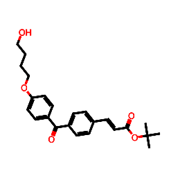 CC(C)(C)OC(=O)/C=C/c1ccc(C(=O)c2ccc(OCCCCO)cc2)cc1